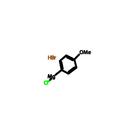 Br.COc1cc[c]([Mg][Cl])cc1